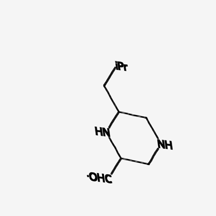 CC(C)CC1CNCC([C]=O)N1